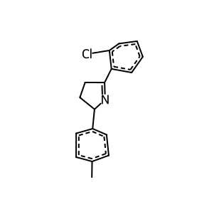 Cc1ccc(C2CCC(c3ccccc3Cl)=N2)cc1